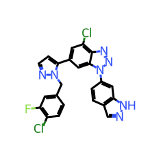 Fc1cc(Cn2nccc2-c2cc(Cl)c3nnn(-c4ccc5cn[nH]c5c4)c3c2)ccc1Cl